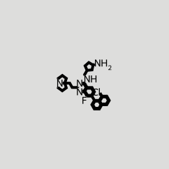 NC1CCC(CNc2nc(CCC34CCCN3CCC4)nc3c(F)c(-c4cccc5cccc(Cl)c45)ccc23)C1